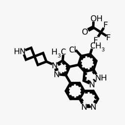 Cc1cc2[nH]ncc2c(-c2c(-c3ccc4nnccc4c3)nn(C3CC4(CNC4)C3)c2C)c1Cl.O=C(O)C(F)(F)F